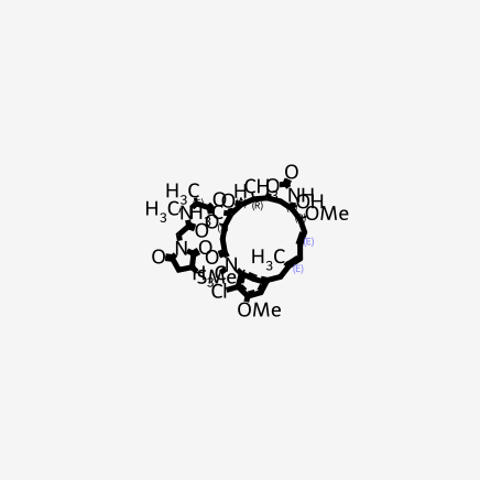 COc1cc2cc(c1Cl)N(C)C(=O)C[C@H](OC(=O)[C@H](C)N(C)C(=O)CN1C(=O)CC(SC)C1=O)C1(C)O[C@H]1[C@H](C)C1C[C@@](O)(NC(=O)O1)[C@H](OC)/C=C/C=C(\C)C2